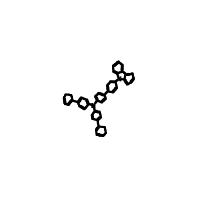 C1=CCCC(c2ccc(N(c3ccc(C4=CC=CCC4)cc3)c3ccc(-c4ccc(-n5c6ccccc6c6ccccc65)cc4)cc3)cc2)=C1